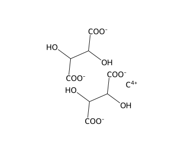 O=C([O-])C(O)C(O)C(=O)[O-].O=C([O-])C(O)C(O)C(=O)[O-].[C+4]